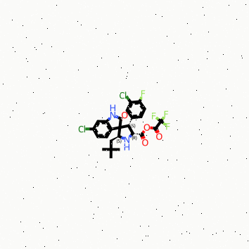 CC(C)(C)C[C@@H]1N[C@@H](C(=O)OC(=O)C(F)(F)F)[C@@H](c2ccc(F)c(Cl)c2)C12C(=O)Nc1cc(Cl)ccc12